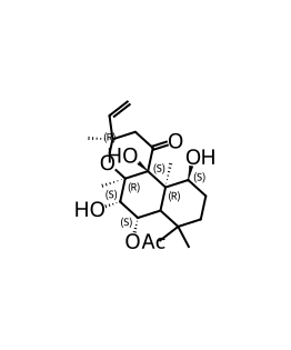 C=C[C@@]1(C)CC(=O)[C@@]2(O)[C@](C)(O1)[C@@H](O)[C@@H](OC(C)=O)C1C(C)(C)CC[C@H](O)[C@@]12C